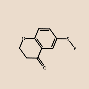 O=C1CCOc2ccc(SF)cc21